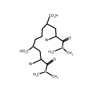 CN(C)C(=O)C(Br)CC(CCCC(CC(Br)C(=O)N(C)C)C(=O)O)C(=O)O